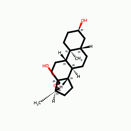 C[C@H]1OC(O)[C@]23CC[C@H]4[C@@H](CC[C@H]5C[C@H](O)CC[C@@]54C)[C@@H]2CC[C@H]13